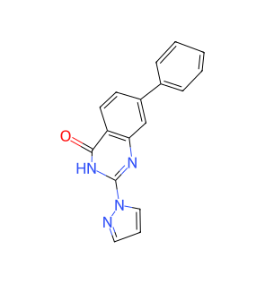 O=c1[nH]c(-n2cccn2)nc2cc(-c3ccccc3)ccc12